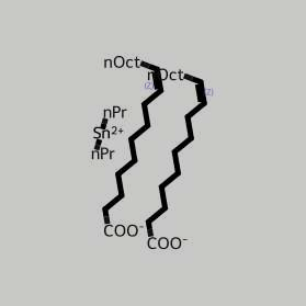 CCCCCCCC/C=C\CCCCCCCC(=O)[O-].CCCCCCCC/C=C\CCCCCCCC(=O)[O-].CC[CH2][Sn+2][CH2]CC